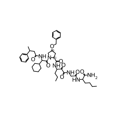 CCCCC(NC(=O)CNC(=O)C(=O)C(CCC)NC(=O)[C@@H]1C[C@@H](OCc2ccccc2)CN1C(=O)C(NC(=O)CC(C)c1ccccc1)C1CCCCC1)C(N)=O